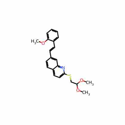 COc1ccccc1C=Cc1ccc2ccc(SCC(OC)OC)nc2c1